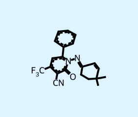 CC1(C)C=CC(=Nn2c(-c3ccccc3)cc(C(F)(F)F)c(C#N)c2=O)CC1